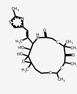 C/C(=C\c1csc(C)n1)C1NC(=O)CCC(C)(C)C(=O)C(C)CC(C)CCCC2(C)OC2(O)C1O